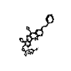 CCc1c2c(nc3ccc(C=Cc4ccccc4)cc13)-c1cc3c(c(=O)n1C2)COC(=O)C3(O)CCF